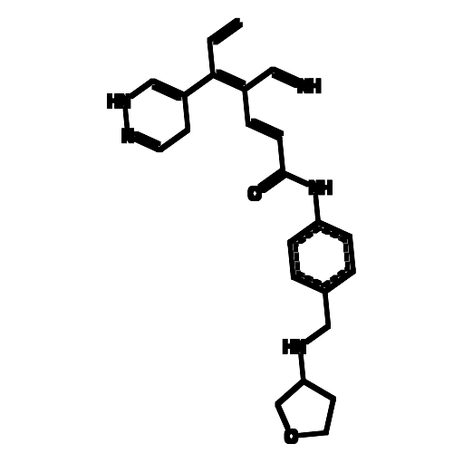 C=C/C(C1=CNN=CC1)=C(C=N)/C=C/C(=O)Nc1ccc(CNC2CCOC2)cc1